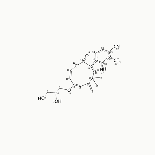 C=C1/C=C(OC[C@H](O)CO)\C=C/CC(=O)c2c([nH]c3c(C(F)(F)F)c(C#N)ccc23)C1(C)C